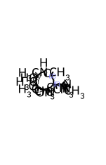 C/C1=C/CC(/C(C)=C/c2cnn(C)n2)OC(=O)C[C@H](O)C(C)(C)C(=O)[C@@H](C)[C@@H](O)[C@@H](C)CNC1